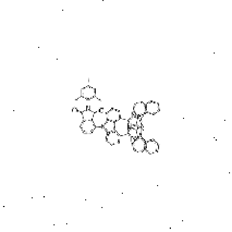 Cc1cc(C)c(N2C(=O)c3cccc(-n4c5cccc(-c6nc(-c7ccccc7)nc(-c7ccccc7)n6)c5c5c(-c6nc(-c7ccccc7)nc(-c7ccccc7)n6)cccc54)c3C2=O)c(C)c1